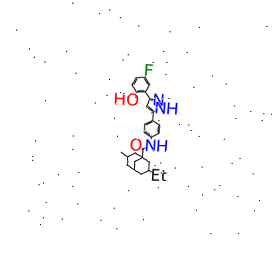 CCC1CC2CC(C)CC(C(=O)Nc3ccc(-c4cc(-c5cc(F)ccc5O)n[nH]4)cc3)(C1)C2